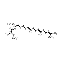 CC(C)=CCC/C(C)=C/CC/C(C)=C/CSCC[C@H](NC(=O)C(C)CC(=O)O)C(=O)O